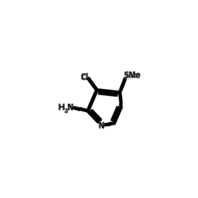 CSc1ccnc(N)c1Cl